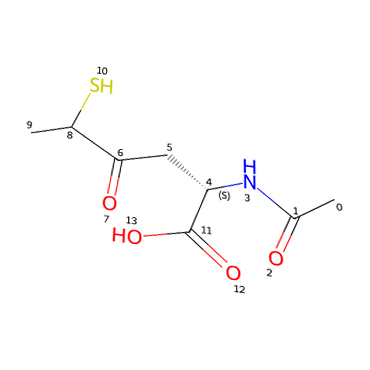 CC(=O)N[C@@H](CC(=O)C(C)S)C(=O)O